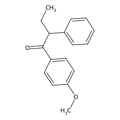 CCC(C(=O)c1ccc(OC)cc1)c1ccccc1